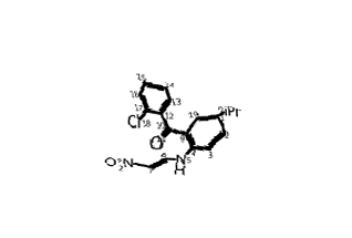 CC(C)c1ccc(NC=C[N+](=O)[O-])c(C(=O)c2ccccc2Cl)c1